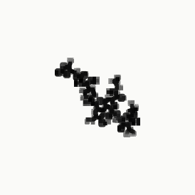 C=Cc1cc(C(=O)Nc2ccc(C(=N)NC(=O)OCc3oc(=O)oc3C)cc2)c(-c2ccc(C(=O)NCC3CC3)nc2C(=O)OCOC(=O)[C@@H](NC(=O)OC(C)(C)C)C(C)C)cc1OC